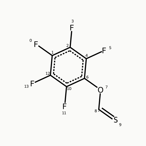 Fc1c(F)c(F)c(O[C]=S)c(F)c1F